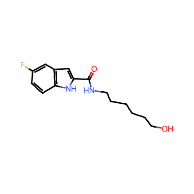 O=C(NCCCCCCO)c1cc2cc(F)ccc2[nH]1